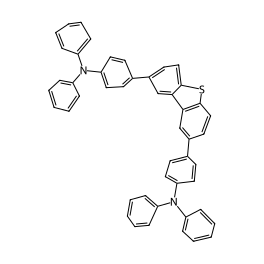 c1ccc(N(c2ccccc2)c2ccc(-c3ccc4sc5ccc(-c6ccc(N(c7ccccc7)c7ccccc7)cc6)cc5c4c3)cc2)cc1